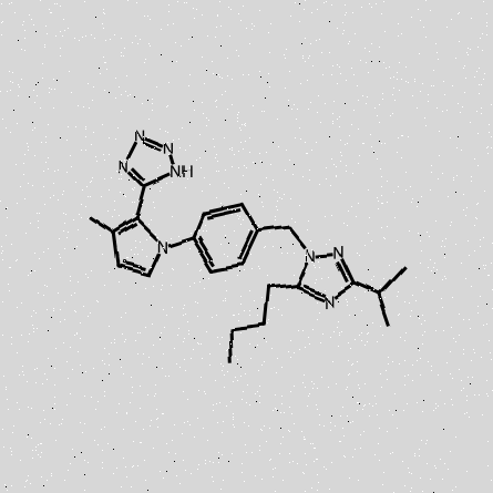 CCCCc1nc(C(C)C)nn1Cc1ccc(-n2ccc(C)c2-c2nnn[nH]2)cc1